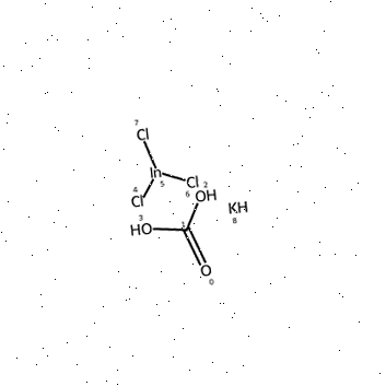 O=C(O)O.[Cl][In]([Cl])[Cl].[KH]